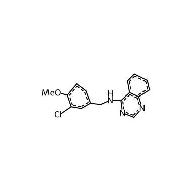 COc1ccc(CNc2ncnc3ccccc23)cc1Cl